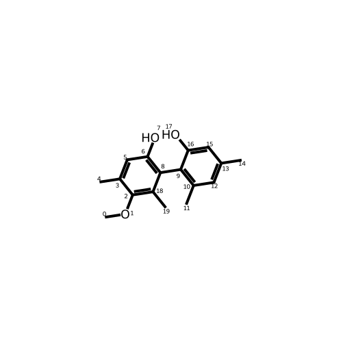 COc1c(C)cc(O)c(-c2c(C)cc(C)cc2O)c1C